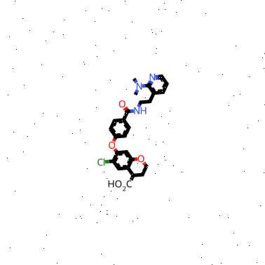 CN(C)c1ncccc1CCNC(=O)c1ccc(Oc2cc3c(cc2Cl)C(C(=O)O)CCO3)cc1